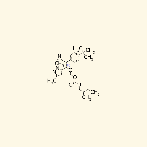 CCC(C)COC(=O)OCO/C(=C(\c1ccc(C(C)(C)C)cc1)C1C=N1)c1cc(C)nn1C